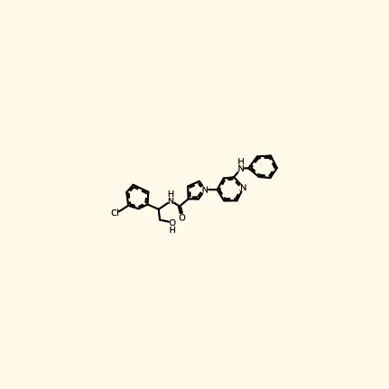 O=C(NC(CO)c1cccc(Cl)c1)c1ccn(-c2ccnc(Nc3ccccc3)c2)c1